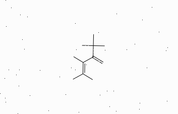 C=C(C(C)=C(C)C)C(C)(C)C